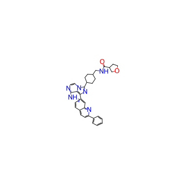 Nc1nccn2c(C3CCC(CNC(=O)C4CCOC4)CC3)nc(-c3ccc4ccc(-c5ccccc5)nc4c3)c12